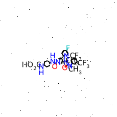 CN(C(=O)N(C)[C@@H]1CN(C(=O)N[C@H]2CC[C@H](NC(=O)O)CC2)C[C@H]1c1ccc(F)cn1)c1cc(C(F)(F)F)cc(C(F)(F)F)c1